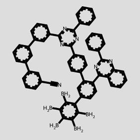 Bc1c(B)c(B)c(-c2ccc(-c3nc(-c4ccccc4)nc4ccccc34)c(-c3ccc(-c4nc(-c5ccccc5)nc(-c5cccc(-c6cccc(-c7cccc(C#N)c7)c6)c5)n4)cc3)c2)c(B)c1B